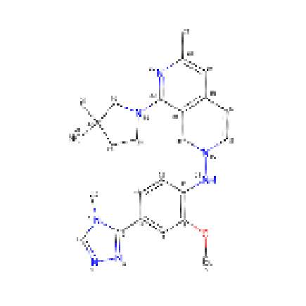 CCOc1cc(-c2nncn2C)ccc1NN1C=Cc2cc(C)nc(N3CCC(C)(C#N)C3)c2C1